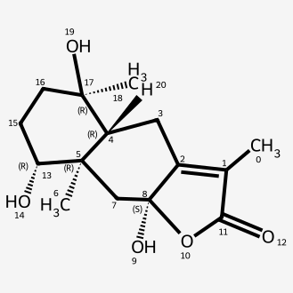 CC1=C2C[C@@H]3[C@@](C)(C[C@]2(O)OC1=O)[C@H](O)CC[C@@]3(C)O